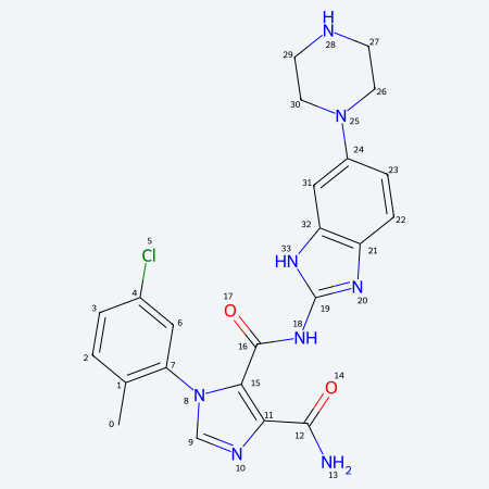 Cc1ccc(Cl)cc1-n1cnc(C(N)=O)c1C(=O)Nc1nc2ccc(N3CCNCC3)cc2[nH]1